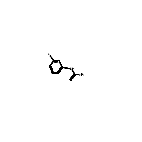 C=C(CCC)Nc1cccc(F)c1